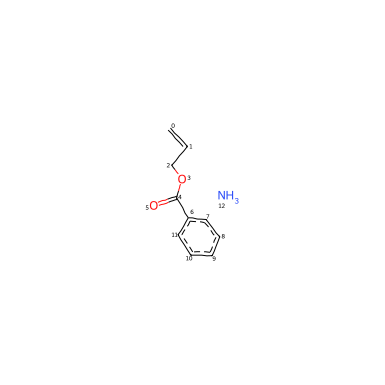 C=CCOC(=O)c1ccccc1.N